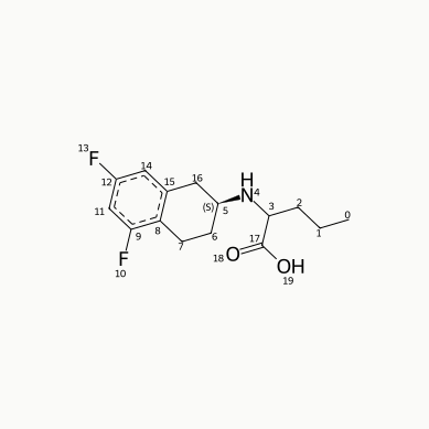 CCCC(N[C@H]1CCc2c(F)cc(F)cc2C1)C(=O)O